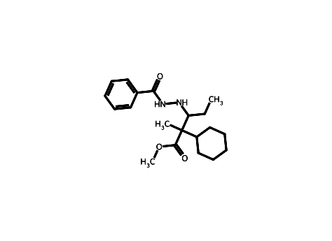 CCC(NNC(=O)c1ccccc1)C(C)(C(=O)OC)C1CCCCC1